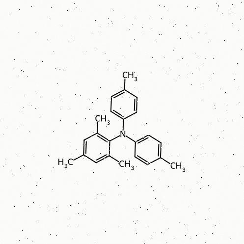 Cc1ccc(N(c2ccc(C)cc2)c2c(C)cc(C)cc2C)cc1